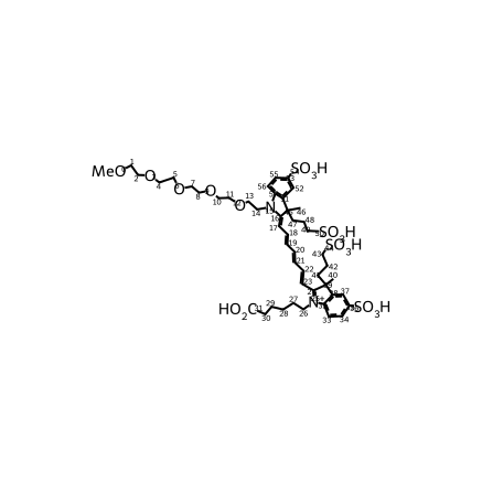 COCCOCCOCCOCCOCCN1/C(=C/C=C/C=C/C=C/C2=[N+](CCCCCC(=O)O)c3ccc(S(=O)(=O)O)cc3C2(C)CCCS(=O)(=O)O)C(C)(CCCS(=O)(=O)O)c2cc(S(=O)(=O)O)ccc21